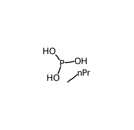 CCCC.OP(O)O